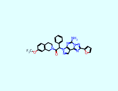 Nc1nc2c(cnn2C(C(=O)N2CCc3ccc(OC(F)(F)F)cc3C2)c2ccccc2)c2nc(-c3ccco3)nn12